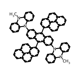 CN1c2ccccc2N(c2ccc3c(-c4ccc5ccc6cccc7ccc4c5c67)c4cc(N5c6ccccc6N(C)c6ccccc65)ccc4c(-c4ccc5ccc6cccc7ccc4c5c67)c3c2)c2ccccc21